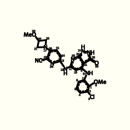 COc1c(Cl)cccc1Nc1cc(Nc2ccc(N3CC(OC)C3)c(C#N)n2)nc2[nH][nH]c(=O)c12